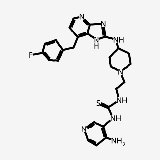 Nc1ccncc1NC(=S)NCCN1CCC(Nc2nc3nccc(Cc4ccc(F)cc4)c3[nH]2)CC1